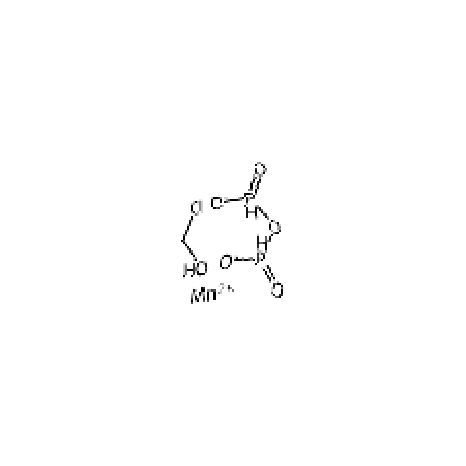 O=[PH]([O-])O[PH](=O)[O-].OCCl.[Mn+2]